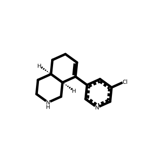 Clc1cncc(C2=CCC[C@@H]3CCNC[C@H]23)c1